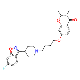 CC1Oc2cc(OCCCCN3CCC(c4noc5cc(F)ccc45)CC3)ccc2C(=O)C1C